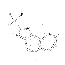 FC(F)(F)c1nc2ccc3cccoc3c2n1